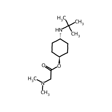 CN(C)CC(=O)O[C@H]1CC[C@H](NC(C)(C)C)CC1